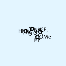 COc1c([C@H]2[C@H](C(=O)Nc3ccnc(C(=O)N4CCN[C@H](C)C4)c3)O[C@@](C)(C(F)(F)F)[C@H]2C)ccc(F)c1F